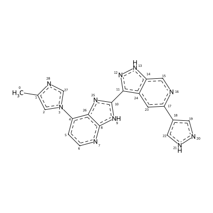 Cc1cn(-c2ccnc3[nH]c(-c4n[nH]c5cnc(-c6cn[nH]c6)cc45)nc23)cn1